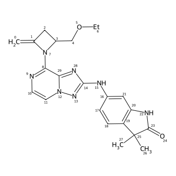 C=C1CC(COCC)N1c1nccn2nc(Nc3ccc4c(c3)NC(=O)C4(C)C)nc12